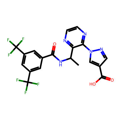 CC(NC(=O)c1cc(C(F)(F)F)cc(C(F)(F)F)c1)c1nccnc1-n1cc(C(=O)O)cn1